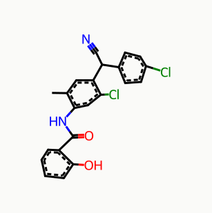 Cc1cc(C(C#N)c2ccc(Cl)cc2)c(Cl)cc1NC(=O)c1ccccc1O